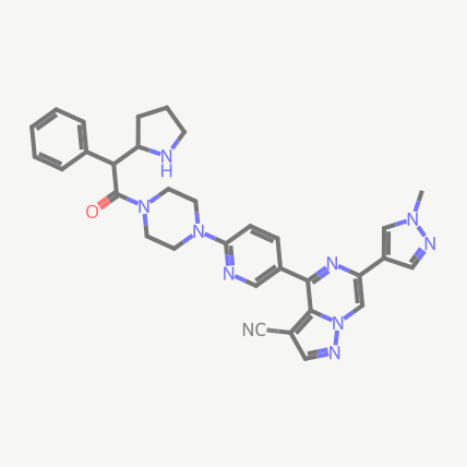 Cn1cc(-c2cn3ncc(C#N)c3c(-c3ccc(N4CCN(C(=O)C(c5ccccc5)C5CCCN5)CC4)nc3)n2)cn1